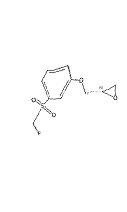 O=S(=O)(CF)c1cccc(OC[C@@H]2CO2)c1